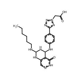 CCCCCCNC1Nc2cn[nH]c(=O)c2C(Nc2ccc(-c3nnn(CC(=O)O)n3)cc2)N1